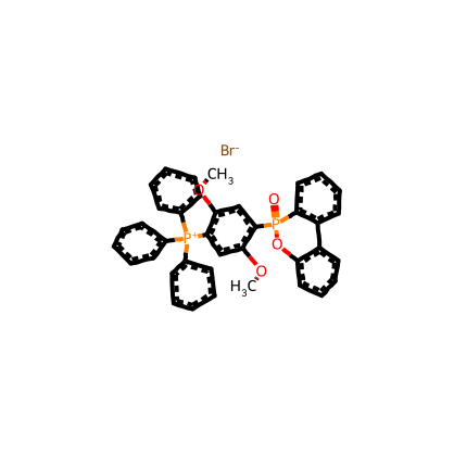 COc1cc([P+](c2ccccc2)(c2ccccc2)c2ccccc2)c(OC)cc1P1(=O)Oc2ccccc2-c2ccccc21.[Br-]